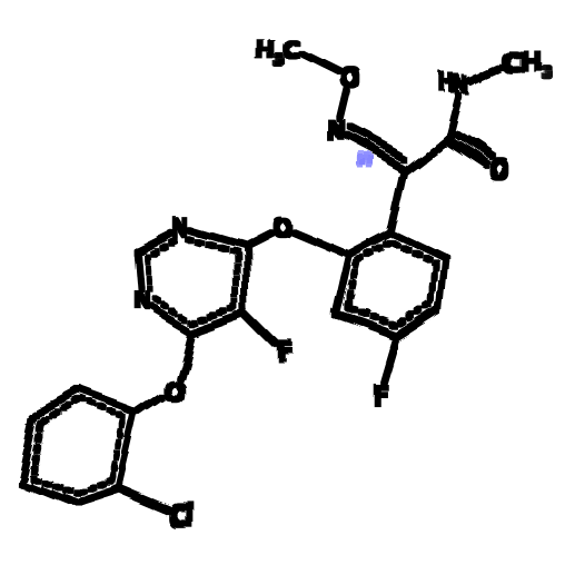 CNC(=O)/C(=N\OC)c1ccc(F)cc1Oc1ncnc(Oc2ccccc2Cl)c1F